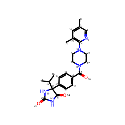 Cc1cnc(N2CCN(C(=O)c3ccc(C4(C(C)C)NC(=O)NC4=O)cc3)CC2)c(C)c1